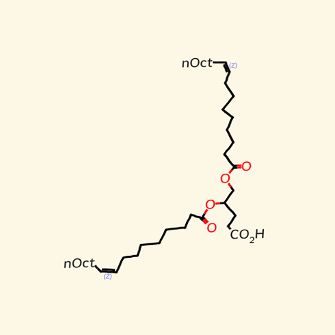 CCCCCCCC/C=C\CCCCCCCC(=O)OCC(CCC(=O)O)OC(=O)CCCCCCC/C=C\CCCCCCCC